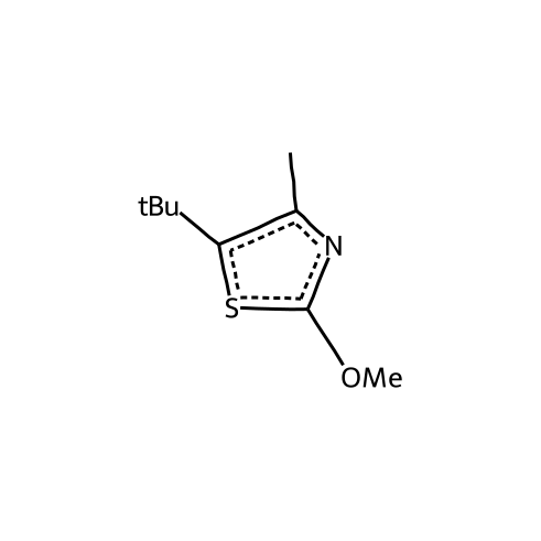 COc1nc(C)c(C(C)(C)C)s1